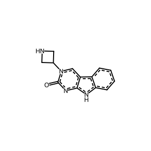 O=c1nc2[nH]c3ccccc3c2cn1C1CNC1